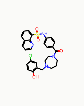 O=C(c1ccc(NS(=O)(=O)c2cccc3cccnc23)cc1)N1CCCN(Cc2cc(Cl)ccc2O)CC1